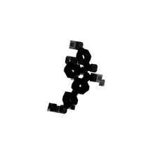 BC(c1ccc(-c2ccc(OC)nc2)cc1)N(C(=O)C1CCC(O)CC1)c1cc(C)ccn1